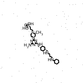 C[C@@H]1CN(c2nc(N)nc(NC[C@H]3CC[C@H](CNCCCNC4CCCCC4)CC3)n2)CCN1CCCP(=O)(O)O